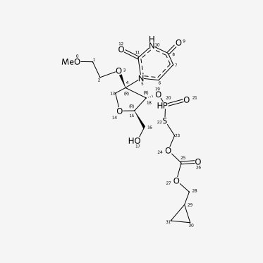 COCCO[C@]1(n2ccc(=O)[nH]c2=O)CO[C@H](CO)[C@H]1O[PH](=O)SCOC(=O)OCC1CC1